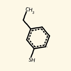 CCc1cc[c]c(S)c1